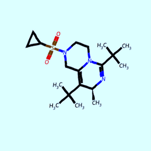 C[C@@H]1N=C(C(C)(C)C)N2CCN(S(=O)(=O)C3CC3)CC2=C1C(C)(C)C